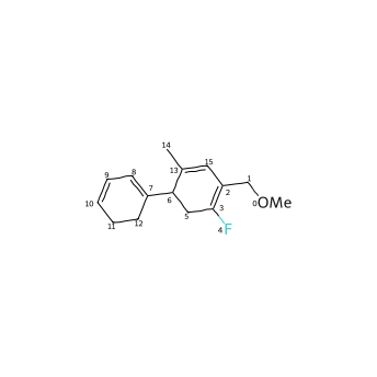 COCC1=C(F)CC(C2=CC=CCC2)C(C)=C1